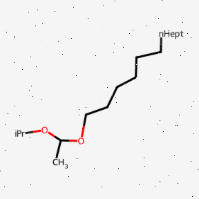 CCCCCCCCCCCCCOC(C)OC(C)C